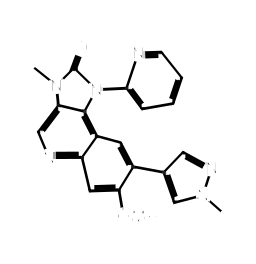 COc1cc2ncc3c(c2cc1-c1cnn(C)c1)n(-c1ccccn1)c(=O)n3C